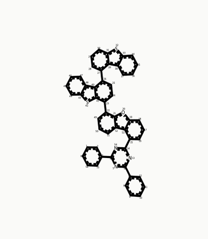 c1ccc(-c2nc(-c3ccccc3)nc(-c3cccc4oc5c(-c6ccc(-c7cccc8sc9ccccc9c78)c7c6sc6ccccc67)cccc5c34)n2)cc1